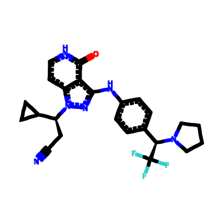 N#CC[C@@H](C1CC1)n1nc(Nc2ccc([C@@H](N3CCCC3)C(F)(F)F)cc2)c2c(=O)[nH]ccc21